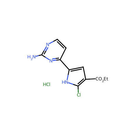 CCOC(=O)c1cc(-c2ccnc(N)n2)[nH]c1Cl.Cl